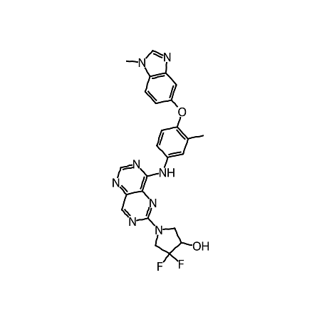 Cc1cc(Nc2ncnc3cnc(N4CC(O)C(F)(F)C4)nc23)ccc1Oc1ccc2c(c1)ncn2C